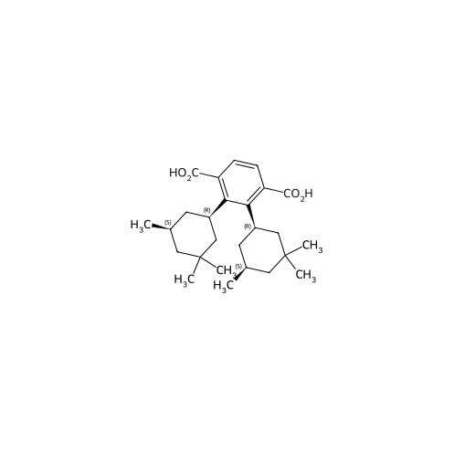 C[C@H]1C[C@@H](c2c(C(=O)O)ccc(C(=O)O)c2[C@@H]2C[C@H](C)CC(C)(C)C2)CC(C)(C)C1